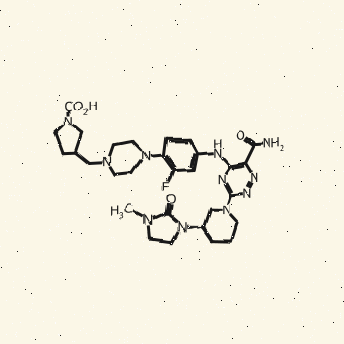 CN1CCN([C@@H]2CCCN(c3nnc(C(N)=O)c(Nc4ccc(N5CCN(CC6CCN(C(=O)O)C6)CC5)c(F)c4)n3)C2)C1=O